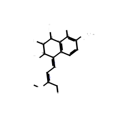 CCO/C(=C/C=C1/c2ccc(OC)c(F)c2C(F)C(F)C1C)CF